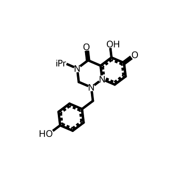 CC(C)N1CN(Cc2ccc(O)cc2)n2ccc(=O)c(O)c2C1=O